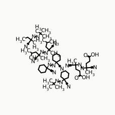 CC(C#N)(CCC(=O)O)N=NC(C)(C#N)CCC(=O)O.CC(C)(C)N=NC1(C#N)CCCCC1.CC(C)CC(C)(C#N)N=NC(C)(C#N)CC(C)C.CCC(C)(C#N)N=NC(C)(C)C.N#CC1(N=NC2(C#N)CCCCC2)CCCCC1